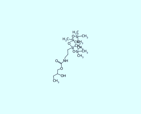 CCC(O)COC(=O)NCCC[Si](C)(O[Si](C)(C)C)O[Si](C)(C)O[Si](C)(C)C